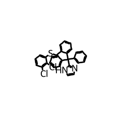 Clc1cccc(SCc2ccccc2C(c2ccccc2)(c2ccccc2)c2ncc[nH]2)c1Cl